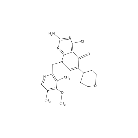 COc1c(C)cnc(Cn2cc(C3CCOCC3)c(=O)c3c(Cl)nc(N)nc32)c1C